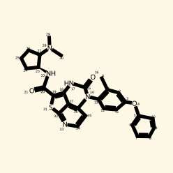 Cc1cc(Oc2ccccc2)ccc1N1C(=O)Nc2c(C(=O)N[C@H]3CCCC3N(C)C)sc3nccc1c23